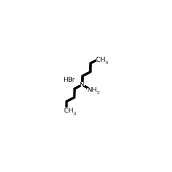 Br.CCCCN(N)CCCC